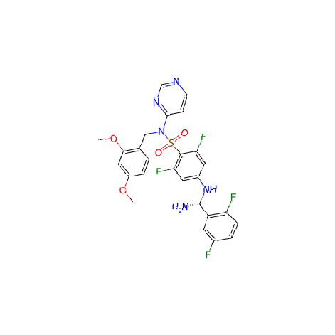 COc1ccc(CN(c2ccncn2)S(=O)(=O)c2c(F)cc(N[C@@H](N)c3cc(F)ccc3F)cc2F)c(OC)c1